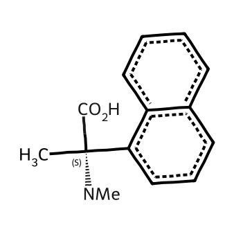 CN[C@](C)(C(=O)O)c1cccc2ccccc12